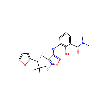 CN(C)C(=O)c1cccc(Nc2no[n+]([O-])c2N[C@@H](c2ccco2)C(C)(C)C)c1O